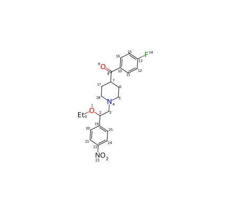 CCOC(CN1CCC(C(=O)c2ccc(F)cc2)CC1)c1ccc([N+](=O)[O-])cc1